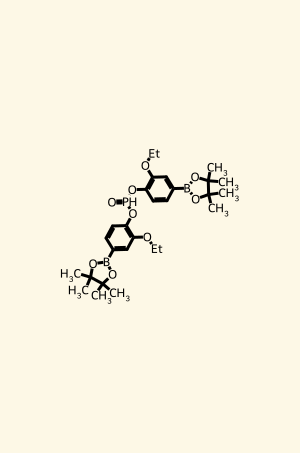 CCOc1cc(B2OC(C)(C)C(C)(C)O2)ccc1O[PH](=O)Oc1ccc(B2OC(C)(C)C(C)(C)O2)cc1OCC